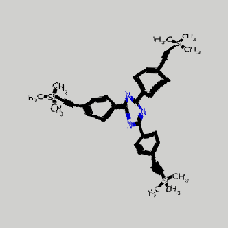 C[Si](C)(C)C#Cc1ccc(-c2nc(-c3ccc(C#C[Si](C)(C)C)cc3)nc(-c3ccc(C#C[Si](C)(C)C)cc3)n2)cc1